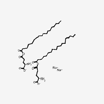 CCCCCCCCCCCCCCCCCC(=O)OC(=O)CC[C@H](N)C(=O)[O-].CCCCCCCCCCCCCCCCCC(=O)OC(=O)CC[C@H](N)C(=O)[O-].[Na+].[Na+]